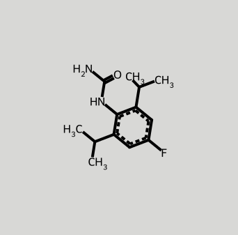 CC(C)c1cc(F)cc(C(C)C)c1NC(N)=O